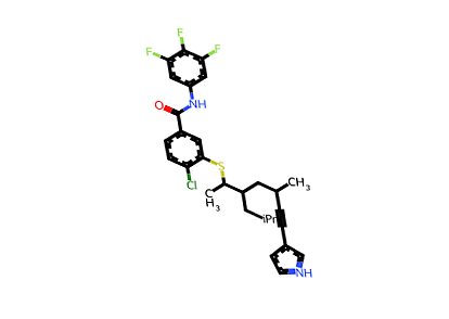 CC(C)CC(CC(C)C#Cc1cc[nH]c1)C(C)Sc1cc(C(=O)Nc2cc(F)c(F)c(F)c2)ccc1Cl